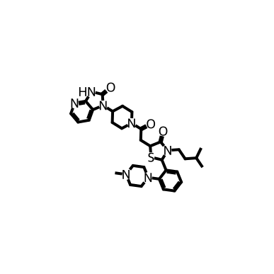 CC(C)CCN1C(=O)C(CC(=O)N2CCC(n3c(=O)[nH]c4ncccc43)CC2)SC1c1ccccc1N1CCN(C)CC1